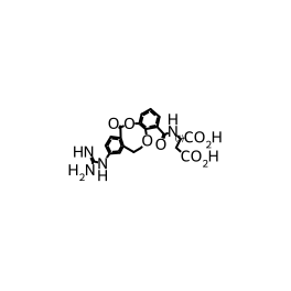 N=C(N)Nc1ccc2c(c1)CCOc1c(cccc1C(=O)N[C@@H](CC(=O)O)C(=O)O)OC2=O